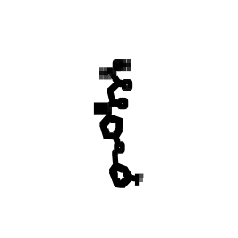 O=C(CC(=O)Nc1ccc(OCc2cccc(F)c2)cc1)NO